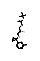 Cc1cccc(C2(NC[C@@H](O)CNC(=O)OC(C)(C)C)CC2)c1